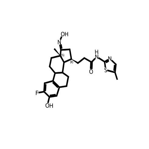 Cc1cnc(NC(=O)CC[C@@H]2CC(=NO)[C@@]3(C)CCC4c5cc(F)c(O)cc5CCC4C23)s1